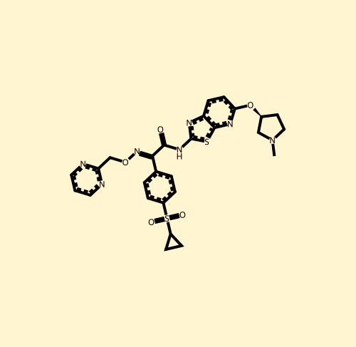 CN1CC[C@H](Oc2ccc3nc(NC(=O)/C(=N/OCc4ncccn4)c4ccc(S(=O)(=O)C5CC5)cc4)sc3n2)C1